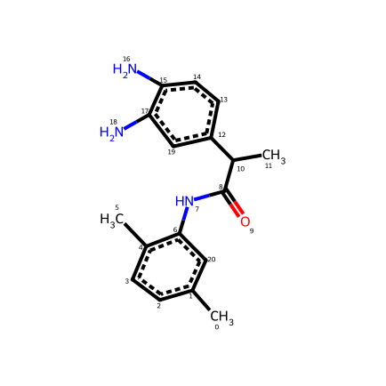 Cc1ccc(C)c(NC(=O)C(C)c2ccc(N)c(N)c2)c1